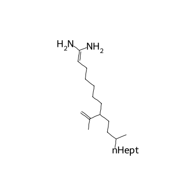 C=C(C)C(CCCCCC=C(N)N)CCC(C)CCCCCCC